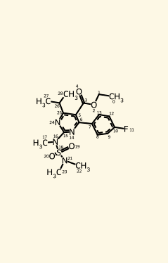 CCOC(=O)c1c(-c2ccc(F)cc2)nc(N(C)S(=O)(=O)N(C)C)nc1C(C)C